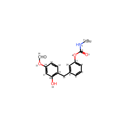 CC(C)(C)NC(=O)Oc1cccc(Cc2ccc(OC=O)cc2O)c1